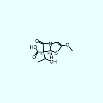 COC1=CN2C(=O)[C@](C(=O)O)(C(C)O)[C@H]2S1